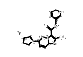 CC1=C(C(=O)NC2=CNCC=C2)N2NC(N3CC[C@H](F)C3)C=CC2N1